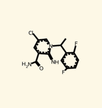 CC(c1cc(F)ccc1F)n1cc(Cl)cc(C(N)=O)c1=N